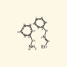 CCC=NCc1ccccc1.NCc1ccccc1